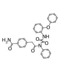 NC(=O)c1ccc(CC(=O)N(c2ccccc2)S(=O)(=O)Nc2ccccc2Oc2ccccc2)cc1